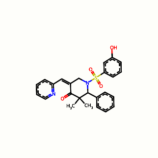 CC1(C)C(=O)/C(=C\c2ccccn2)CN(S(=O)(=O)c2cccc(O)c2)C1c1ccccc1